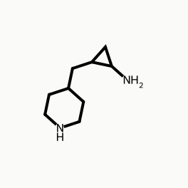 NC1CC1CC1CCNCC1